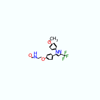 COc1ccc(-n2nc(C(F)(F)F)cc2-c2ccc(OCCNC=O)cc2)cc1